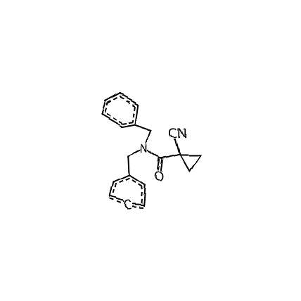 N#CC1(C(=O)N(Cc2ccccc2)Cc2ccccc2)CC1